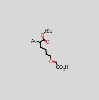 CC(=O)C(CCCCOCC(=O)O)C(=O)OC(C)(C)C